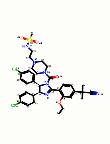 CCOc1cc(C(C)(C)C#N)ccc1C1=N[C@@H](C2C=CC(Cl)=CC2)[C@@H](c2ccc(Cl)cc2)N1C(=O)N1CCN(CCNS(C)(=O)=O)CC1